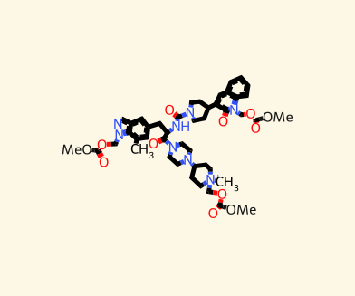 COC(=O)OCn1ncc2cc(CC(NC(=O)N3CCC(c4cc5ccccc5n(COC(=O)OC)c4=O)CC3)C(=O)N3CCN(C4CC[N+](C)(COC(=O)OC)CC4)CC3)cc(C)c21